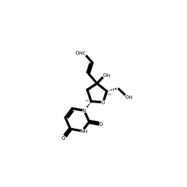 O=CC=CC1(O)C[C@@H](n2ccc(=O)[nH]c2=O)O[C@H]1CO